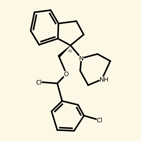 Clc1cccc(C(Cl)OC[C@]2(N3CCNCC3)CCc3ccccc32)c1